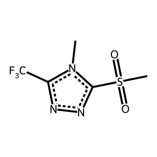 Cn1c(C(F)(F)F)nnc1S(C)(=O)=O